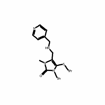 CC(C)Sc1c(CNCc2ccncc2)n(C)c(=O)n1C(C)C